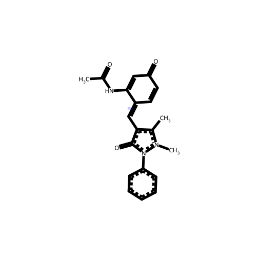 CC(=O)NC1=CC(=O)C=C/C1=C\c1c(C)n(C)n(-c2ccccc2)c1=O